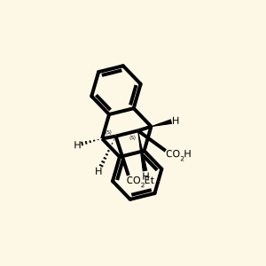 CCOC(=O)[C@H]1[C@H]2c3ccccc3[C@@H](c3ccccc32)[C@@H]1C(=O)O